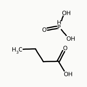 CCCC(=O)O.O=[PH](O)O